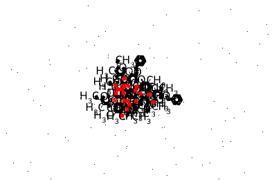 CCC1O[C@H](OC2[C@@H](OCC3O[C@H](OCC4O[C@@H](O[C@@H]5C(CC)O[C@@H](O[C@@H]6C(CC)O[C@@H](OCc7ccccc7)C(C)[C@H]6C)C(C)[C@H]5C)C(OCc5ccccc5)[C@@H](O[C@H]5O[C@@H](CC)[C@@H](C)C(C)C5O[C@H]5O[C@@H](CC)[C@@H](C)C(C)C5O[C@H]5O[C@@H](CC)[C@@H](C)C(C)C5C)[C@@H]4O)C(C)[C@@H](O[C@H]4O[C@@H](CC)[C@@H](C)C(C)C4O[C@H]4O[C@@H](CC)[C@@H](C)C(C)C4C)[C@@H]3C)OC(CC)[C@@H](C)[C@@H]2C)C(C)[C@@H](C)[C@@H]1C